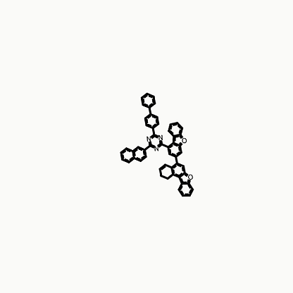 C1=Cc2c(-c3cc(-c4nc(-c5ccc(-c6ccccc6)cc5)nc(-c5ccc6ccccc6c5)n4)c4c(c3)oc3ccccc34)cc3oc4ccccc4c3c2CC1